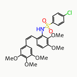 COc1cc(/C=C\c2ccc(OC)c(OC)c2NS(=O)(=O)c2ccc(Cl)cc2)cc(OC)c1OC